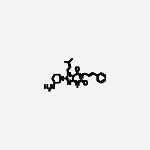 CC(C)=CCn1c(N2CCCC(N)C2)nc2c1c(=O)n(C/C=C/c1ccccc1)c(=O)n2C